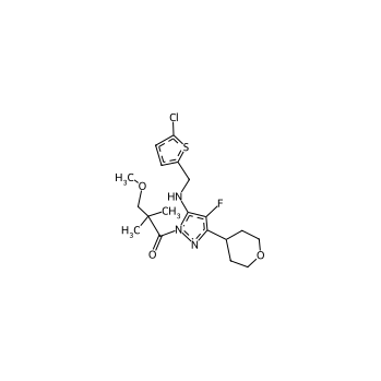 COCC(C)(C)C(=O)n1nc(C2CCOCC2)c(F)c1NCc1ccc(Cl)s1